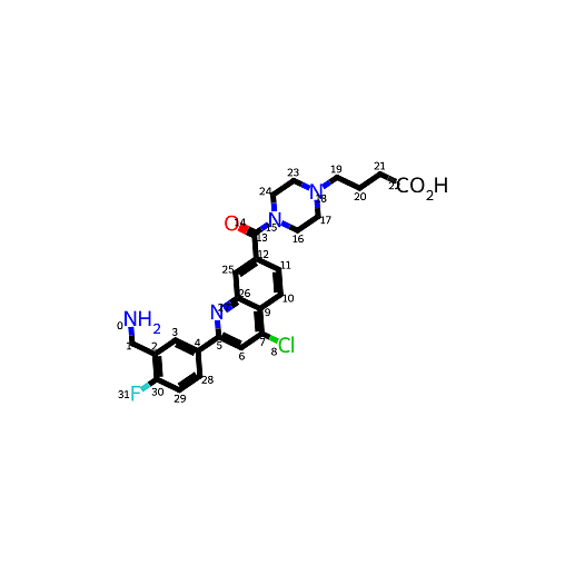 NCc1cc(-c2cc(Cl)c3ccc(C(=O)N4CCN(CCCC(=O)O)CC4)cc3n2)ccc1F